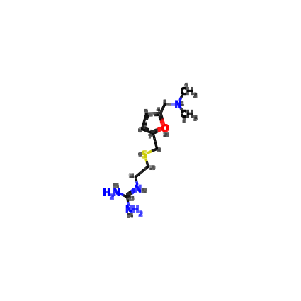 CN(C)Cc1ccc(CSCCN=C(N)N)o1